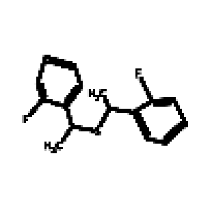 CC(SC(C)c1ccccc1F)c1ccccc1F